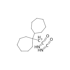 CC1(C2CCCCCC2)CCCCCC1.N=C=O.N=C=O